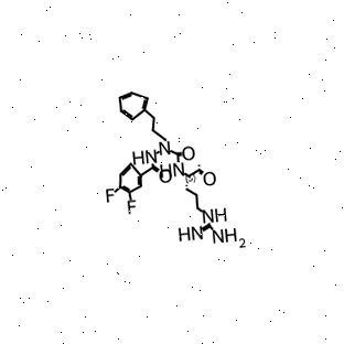 N=C(N)NCCC[C@@H]([C]=O)NC(=O)N(CCCc1ccccc1)NC(=O)c1ccc(F)c(F)c1